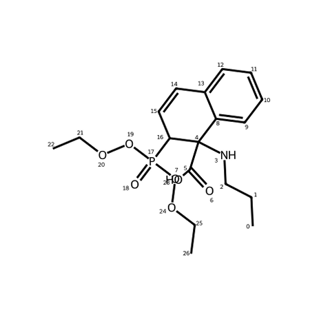 CCCNC1(C(=O)O)c2ccccc2C=CC1P(=O)(OOCC)OOCC